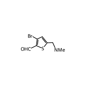 CNCc1cc(Br)c(C=O)s1